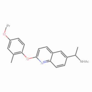 CC(=O)NC(C)c1ccc2nc(Oc3ccc(OC(C)C)cc3C)ccc2c1